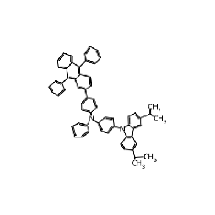 CC(C)c1ccc2c(c1)c1cc(C(C)C)ccc1n2-c1ccc(N(c2ccccc2)c2ccc(-c3ccc4c(-c5ccccc5)c5ccccc5c(-c5ccccc5)c4c3)cc2)cc1